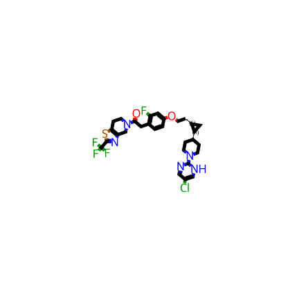 O=C(Cc1ccc(OCC[C@@H]2C[C@@H]2C2CCN(C3N=CC(Cl)=CN3)CC2)cc1F)N1CCc2sc(C(F)(F)F)nc2C1